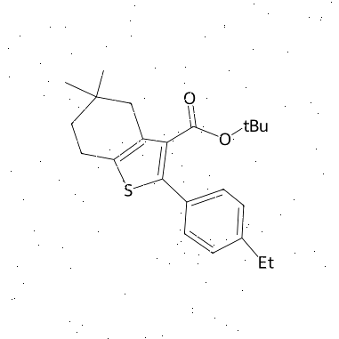 CCc1ccc(-c2sc3c(c2C(=O)OC(C)(C)C)CC(C)(C)CC3)cc1